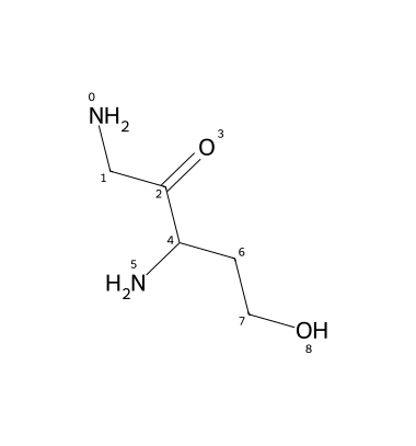 NCC(=O)C(N)CCO